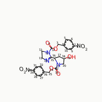 O=C(OCc1ccc([N+](=O)[O-])cc1)N1CCN=C1C1CC(O)CN1C(=O)OCc1ccc([N+](=O)[O-])cc1